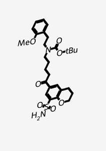 COc1ccccc1CCN(CCCCC(=O)c1cc2c(c(S(N)(=O)=O)c1)OCCC2)C(=O)OC(C)(C)C